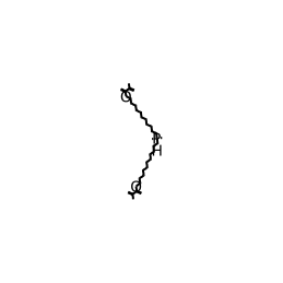 C=C(C)C(=C)OCCCCCCCCCCC[PH](C)(C)CCCCCCCCCCCOC(=C)C(=C)C